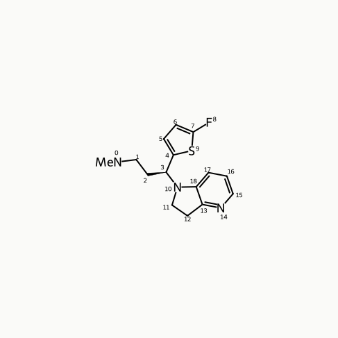 CNCC[C@@H](c1ccc(F)s1)N1CCc2ncccc21